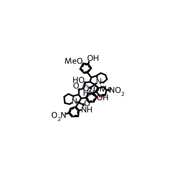 COc1ccc(C2C3CCCCN3C3(C(=O)NC4=C3CC([N+](=O)[O-])C=C4)C2/C(O)=C/C(=O)C2C3CCCCN3C3(C(=O)Nc4ccc([N+](=O)[O-])cc43)C2c2ccc(O)c(OC)c2)cc1O